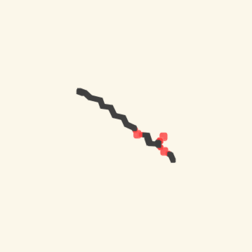 C=CCCCCCCCCOC=CC(=O)OCC